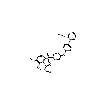 CCOc1ccccc1-c1ccc(OC2CCN(S(=O)(=O)c3ccc(OC)c(OC)c3C(=O)NO)CC2)cc1